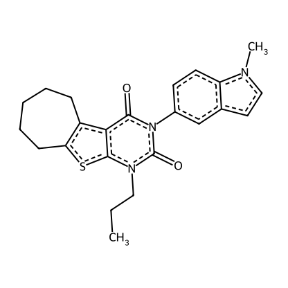 CCCn1c(=O)n(-c2ccc3c(ccn3C)c2)c(=O)c2c3c(sc21)CCCCC3